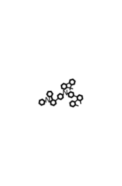 Cc1ccccc1-c1c(C)cccc1-c1ccc(N(c2ccc(-c3cccc4c3c3ccccc3n4-c3ccccc3)cc2)c2cccc3c2C(C)(C)c2ccccc2-3)cc1